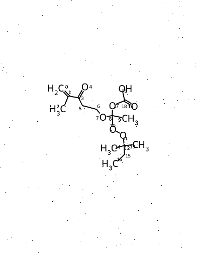 C=C(C)C(=O)CCOC(C)(OOC(C)(C)CC)OC(=O)O